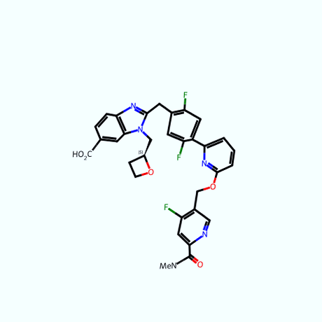 CNC(=O)c1cc(F)c(COc2cccc(-c3cc(F)c(Cc4nc5ccc(C(=O)O)cc5n4C[C@@H]4CCO4)cc3F)n2)cn1